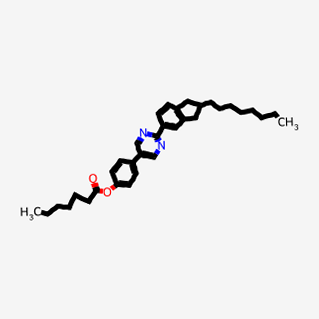 CCCCCCCCC1Cc2ccc(-c3ncc(-c4ccc(OC(=O)CCCCCC)cc4)cn3)cc2C1